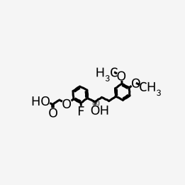 COc1ccc(CC[C@@H](O)c2cccc(OCC(=O)O)c2F)cc1OC